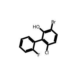 Oc1c(Br)ccc(Cl)c1-c1ccccc1F